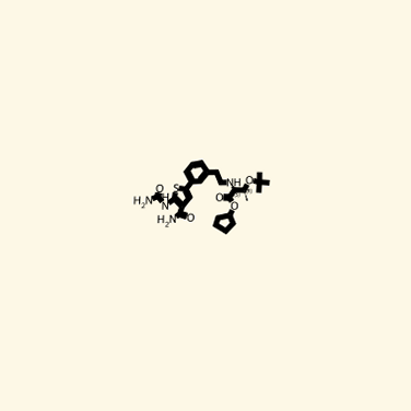 C[C@@H](OC(C)(C)C)[C@H](NCCc1cccc(-c2cc(C(N)=O)c(NC(N)=O)s2)c1)C(=O)OC1CCCC1